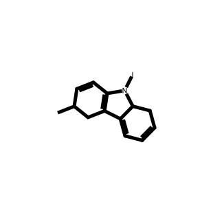 CC1C=CC2=C(C1)C1=CC=CCC1N2I